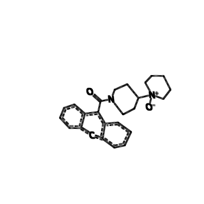 O=C(c1c2ccccc2cc2ccccc12)N1CCC([N+]2([O-])CCCCC2)CC1